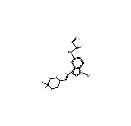 C=CC(=O)Nc1ccc2c(c1)c(/C=C/C1CCC(F)(F)CC1)nn2C(C)C